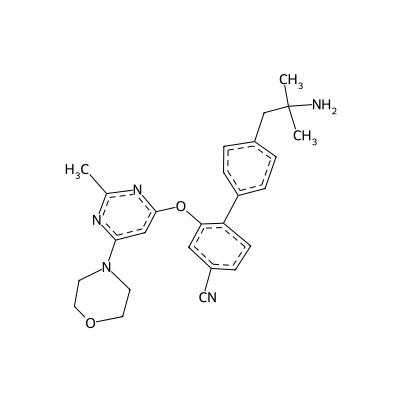 Cc1nc(Oc2cc(C#N)ccc2-c2ccc(CC(C)(C)N)cc2)cc(N2CCOCC2)n1